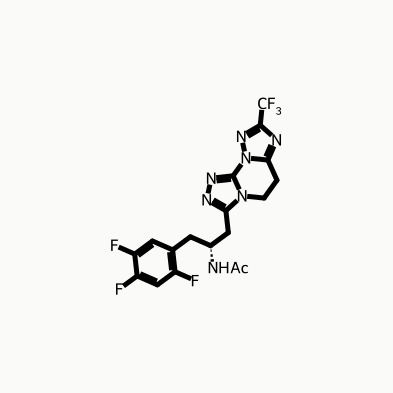 CC(=O)N[C@H](Cc1cc(F)c(F)cc1F)Cc1nnc2n1CCc1nc(C(F)(F)F)nn1-2